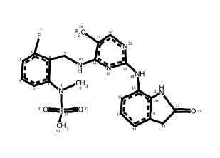 CN(c1cccc(F)c1CNc1nc(Nc2cccc3c2NC(=O)C3)ncc1C(F)(F)F)S(C)(=O)=O